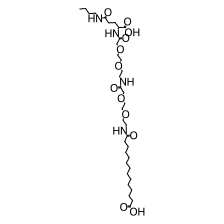 CCCCNC(=O)CCC(NC(=O)COCCOCCNC(=O)COCCOCCNC(=O)CCCCCCCCCCCCC(=O)O)C(=O)O